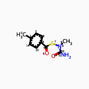 Cc1ccc(C(=O)SN(C)C(N)=O)cc1